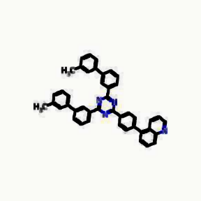 Cc1cccc(-c2cccc(-c3nc(-c4ccc(-c5cccc6ncccc56)cc4)nc(-c4cccc(-c5cccc(C)c5)c4)n3)c2)c1